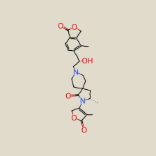 CC1=C(N2C(=O)C3(CCN(C[C@@H](O)c4ccc5c(c4C)COC5=O)CC3)C[C@@H]2C)COC1=O